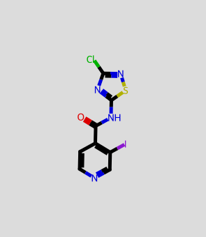 O=C(Nc1nc(Cl)ns1)c1ccncc1I